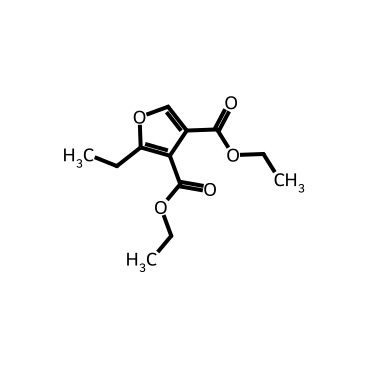 CCOC(=O)c1coc(CC)c1C(=O)OCC